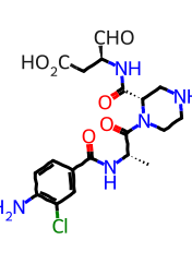 C[C@H](NC(=O)c1ccc(N)c(Cl)c1)C(=O)N1CCNC[C@H]1C(=O)N[C@H](C=O)CC(=O)O